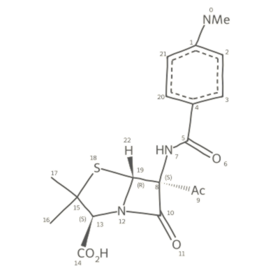 CNc1ccc(C(=O)N[C@@]2(C(C)=O)C(=O)N3[C@@H](C(=O)O)C(C)(C)S[C@@H]32)cc1